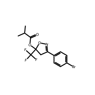 CC(C)C(=O)OC1(C(F)(F)F)CC(c2ccc(Br)cc2)=NO1